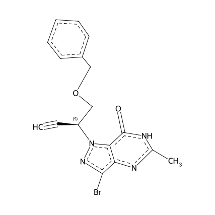 C#C[C@@H](COCc1ccccc1)n1nc(Br)c2nc(C)[nH]c(=O)c21